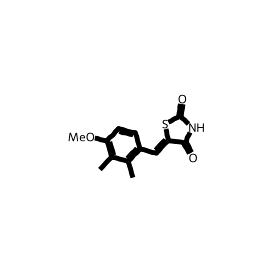 COc1ccc(/C=C2\SC(=O)NC2=O)c(C)c1C